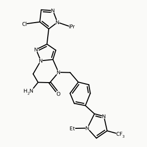 CCn1cc(C(F)(F)F)nc1-c1ccc(CN2C(=O)C(N)Cn3nc(-c4c(Cl)cnn4C(C)C)cc32)cc1